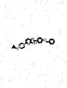 c1ccc(COc2ccc(-c3nc4ccc(N5CCN(SC6CC6)CC5)nc4[nH]3)cc2)cc1